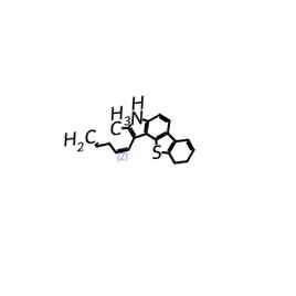 C=CC/C=C\c1c(C)[nH]c2ccc3c4c(sc3c12)CCC=C4